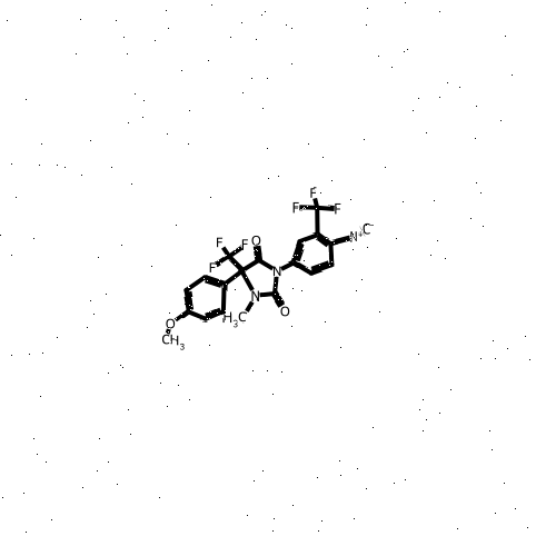 [C-]#[N+]c1ccc(N2C(=O)N(C)C(c3ccc(OC)cc3)(C(F)(F)F)C2=O)cc1C(F)(F)F